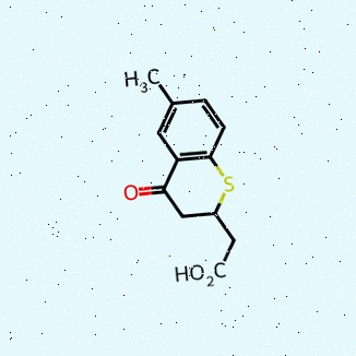 Cc1ccc2c(c1)C(=O)CC(CC(=O)O)S2